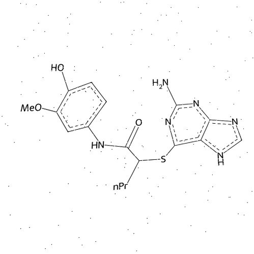 CCCC(Sc1nc(N)nc2nc[nH]c12)C(=O)Nc1ccc(O)c(OC)c1